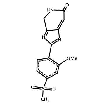 COc1cc(S(C)(=O)=O)ccc1C1=NC2=CC(=O)NCC2=N1